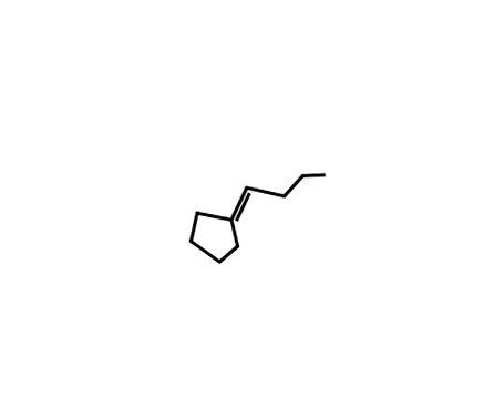 CCCC=C1CCCC1